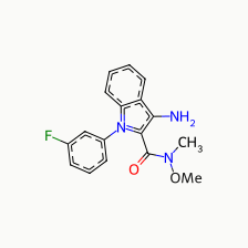 CON(C)C(=O)c1c(N)c2ccccc2n1-c1cccc(F)c1